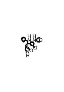 O=C1CN(CC2c3cc(Cl)cc(NC4CCOCC4)c3NC2c2ccccc2)CCN1